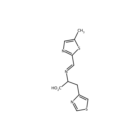 Cc1cnc(C=NC(Cc2cscn2)C(=O)O)s1